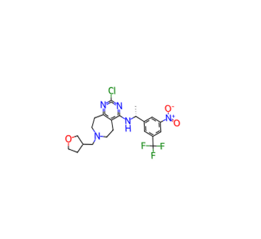 C[C@@H](Nc1nc(Cl)nc2c1CCN(CC1CCOC1)CC2)c1cc([N+](=O)[O-])cc(C(F)(F)F)c1